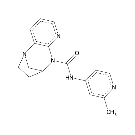 Cc1cc(NC(=O)N2c3ncccc3N3CCC2C3)ccn1